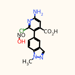 Cn1ncc2cc(-c3c(C(=O)O)cc(N)nc3Cl)ccc21.O=NO